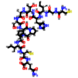 CC[C@H](C)[C@H](NC(=O)CNC(=O)[C@@H](N)CS)C(=O)N[C@@H](Cc1c[nH]cn1)C(=O)N[C@H](C(=O)N[C@@H](C)C(=O)N[C@@H](CO)C(=O)N[C@H](C(=O)N1CCC[C@H]1C(=O)N1CCC[C@H]1C(=O)N[C@H](C(=O)N[C@@H](CS)C(=O)N[C@@H](CCC(N)=O)C(=O)O)[C@@H](C)CC)[C@@H](C)CC)[C@@H](C)O